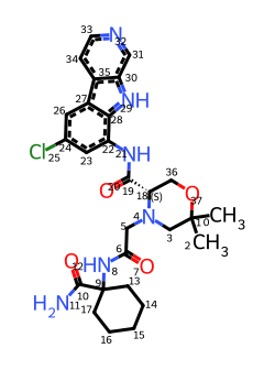 CC1(C)CN(CC(=O)NC2(C(N)=O)CCCCC2)[C@H](C(=O)Nc2cc(Cl)cc3c2[nH]c2cnccc23)CO1